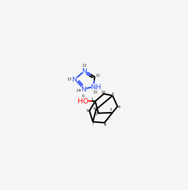 OC12CC3CC(CC(C3)C1)C2.c1nnn[nH]1